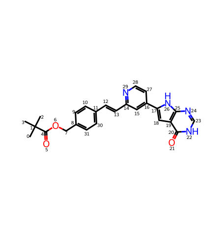 CC(C)(C)C(=O)OCc1ccc(C=Cc2cc(-c3cc4c(=O)[nH]cnc4[nH]3)ccn2)cc1